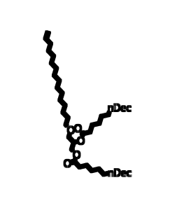 C=CCCCCCCCCCCCCCCOCC(COC(=O)CCCCCCCCCCCCCCC)OC(=O)CCCCCCCCCCCCCCC